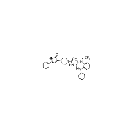 O=C(N[C@@H]1N=C(c2ccccc2)c2ccccc2N(CC(F)(F)F)C1=O)N1CCC(c2cn(-c3ccccc3)[nH]c2=O)CC1